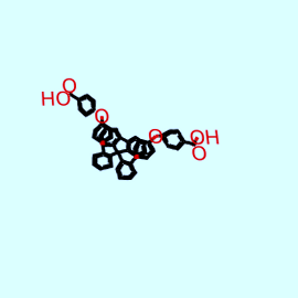 O=C(O)c1ccc(Oc2ccc(-c3ccccc3C3(c4ccccc4-c4ccc(Oc5ccc(C(=O)O)cc5)cc4)c4ccccc4-c4ccccc43)cc2)cc1